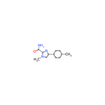 Cc1ccc(-c2cn(C)c(C(N)=O)n2)cc1